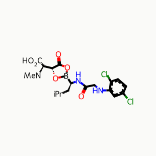 CN[C@@H](C(=O)O)[C@H]1OB([C@H](CC(C)C)NC(=O)CNc2cc(Cl)ccc2Cl)OC1=O